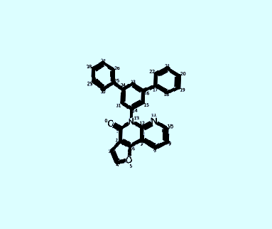 O=c1c2ccoc2c2cccnc2n1-c1cc(-c2ccccc2)cc(-c2ccccc2)c1